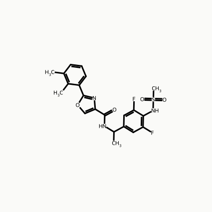 Cc1cccc(-c2nc(C(=O)NC(C)c3cc(F)c(NS(C)(=O)=O)c(F)c3)co2)c1C